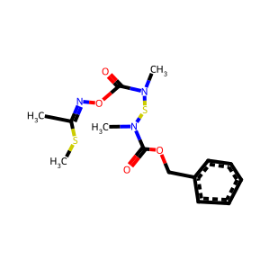 CSC(C)=NOC(=O)N(C)SN(C)C(=O)OCc1ccccc1